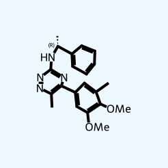 COc1cc(-c2nc(N[C@H](C)c3ccccc3)nnc2C)cc(C)c1OC